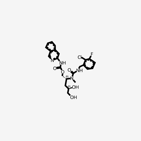 CN(C(=O)NCc1cccc(F)c1Cl)[C@@H](COC(=O)Nc1cc2ccccc2cn1)C[C@@H](O)CO